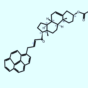 CC(=O)O[C@H]1CC[C@@]2(C)C(=CC[C@H]3[C@@H]4CC[C@H](C(=O)/C=C/Cc5ccc6ccc7cccc8ccc5c6c78)[C@@]4(C)CC[C@@H]32)C1